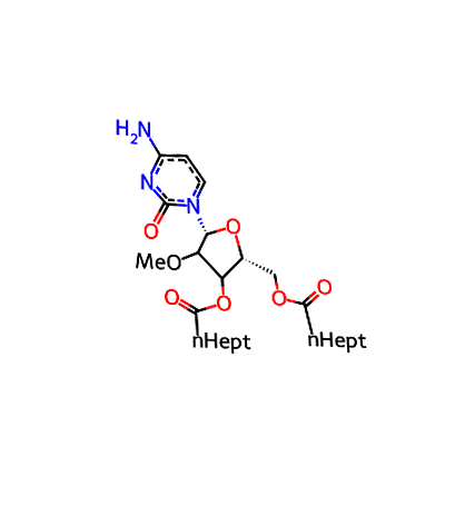 CCCCCCCC(=O)OC[C@H]1O[C@@H](n2ccc(N)nc2=O)C(OC)C1OC(=O)CCCCCCC